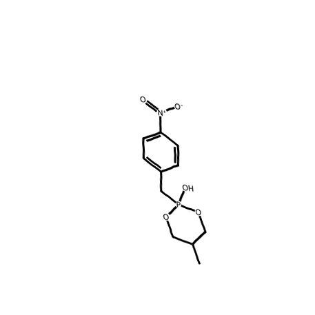 CC1CO[P](O)(Cc2ccc([N+](=O)[O-])cc2)OC1